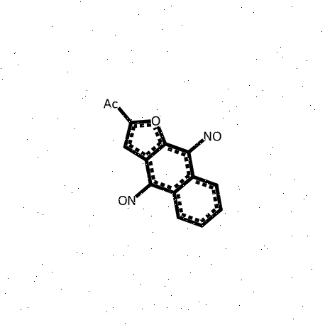 CC(=O)c1cc2c(N=O)c3ccccc3c(N=O)c2o1